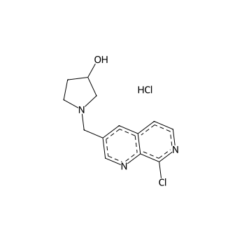 Cl.OC1CCN(Cc2cnc3c(Cl)nccc3c2)C1